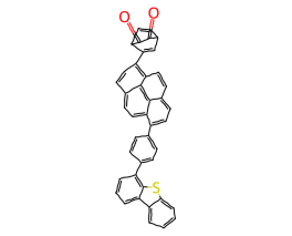 O=C1C(=O)C2C=CC1C=C2c1ccc2ccc3c(-c4ccc(-c5cccc6c5sc5ccccc56)cc4)ccc4ccc1c2c43